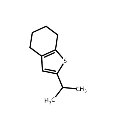 CC(C)c1cc2c(s1)CCCC2